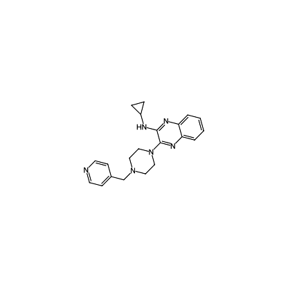 c1ccc2nc(N3CCN(Cc4ccncc4)CC3)c(NC3CC3)nc2c1